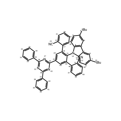 CC(C)(C)c1ccc2c(c1)c1cc(C(C)(C)C)ccc1n2-c1c(-c2ccccc2C#N)cc(-c2nc(-c3ccccc3)nc(-c3ccccc3)n2)cc1-c1ccccc1C#N